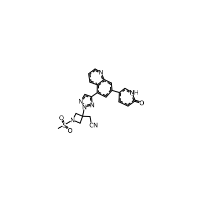 CS(=O)(=O)N1CC(CC#N)(n2ncc(-c3cc(-c4ccc(=O)[nH]c4)cc4ncccc34)n2)C1